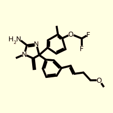 C=C1N(C)C(N)=NC1(c1cccc(/C=C/CCOC)c1)c1ccc(OC(F)F)c(C)c1